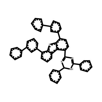 c1ccc(C2=NC(c3ccc(-c4cccc(-c5ccccc5)c4)c4sc5c(-c6cccc(-c7ccccc7)c6)cccc5c34)=NC(c3ccccc3)N2)cc1